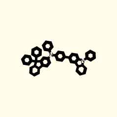 C1=CC2c3cc(-c4ccc(N(c5ccccc5)c5ccc6c(c5)C(c5ccccc5)(c5ccccc5)C5C=CC=CC65)cc4)ccc3N(c3ccccc3)C2C=C1